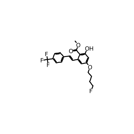 COC(=O)c1c(O)cc(OCCCCF)cc1C=Cc1ccc(C(F)(F)F)cc1